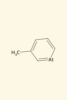 CC1=CC=C[At]=C1